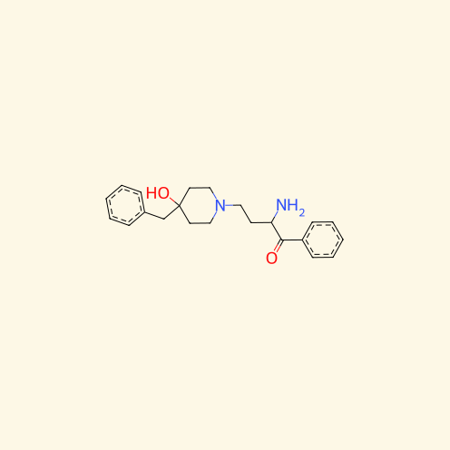 NC(CCN1CCC(O)(Cc2ccccc2)CC1)C(=O)c1ccccc1